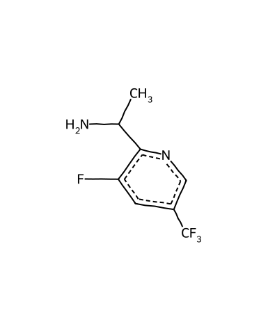 CC(N)c1ncc(C(F)(F)F)cc1F